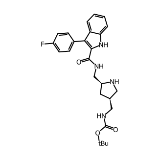 CC(C)(C)OC(=O)NC[C@@H]1CN[C@H](CNC(=O)c2[nH]c3ccccc3c2-c2ccc(F)cc2)C1